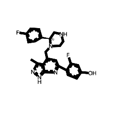 Cc1n[nH]c2nc(-c3ccc(O)cc3F)cc(CN3CCNC[C@@H]3c3ccc(F)cc3)c12